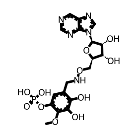 COc1c(OP(=O)(O)O)cc(CNOC[C@H]2O[C@@H](n3cnc4cncnc43)[C@H](O)[C@@H]2O)c(O)c1O